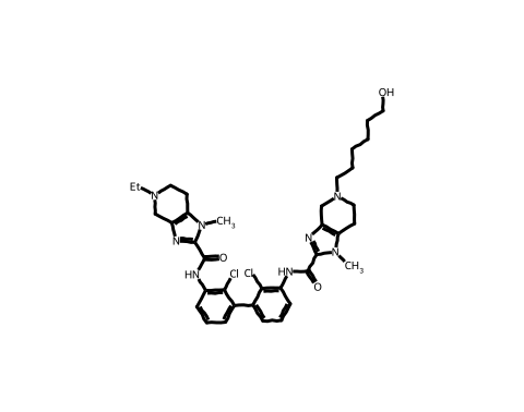 CCN1CCc2c(nc(C(=O)Nc3cccc(-c4cccc(NC(=O)c5nc6c(n5C)CCN(CCCCCCO)C6)c4Cl)c3Cl)n2C)C1